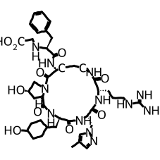 Cc1cnn(C[C@@H]2NC(=O)[C@@H](CC3CCC(O)CC3)NC(=O)[C@@H]3C[C@@H](O)CN3C(=O)[C@@H](NC(=O)[C@H](Cc3ccccc3)NCC(=O)O)CCCNC(=O)[C@H](CCCNC(=N)N)NC2=O)c1